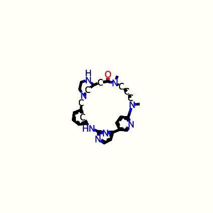 CN1CCCN(C)c2ccc(cn2)-c2ccnc(n2)Nc2cccc(c2)CN2CCNC(CC1=O)C2